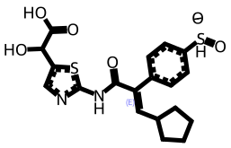 O=C(Nc1ncc(C(O)C(=O)O)s1)/C(=C/C1CCCC1)c1ccc([SH](=O)=O)cc1